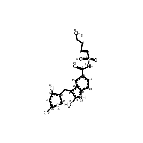 CCCC=CS(=O)(=O)NC(=O)c1ccc2[nH]c(C)c(Cc3ccc(Cl)cc3Cl)c2c1